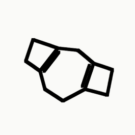 C1CC2=C(CC2)CC2=C1CC2